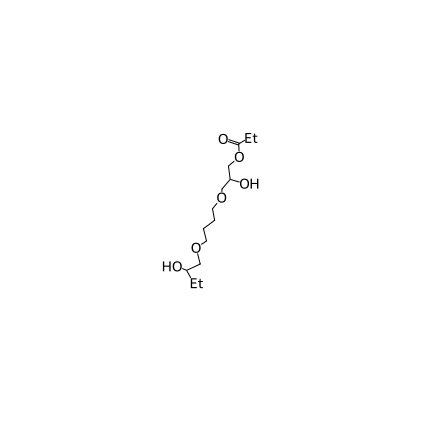 CCC(=O)OCC(O)COCCCCOCC(O)CC